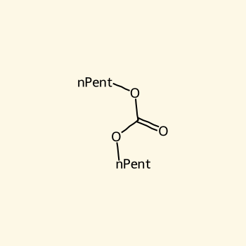 [CH2]CCCCOC(=O)OCCCCC